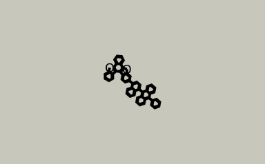 c1ccc(-c2c3ccccc3c(-c3ccc(-c4ccc5c(c4)oc4c6ccccc6c6oc7ccccc7c6c54)c4ccccc34)c3ccccc23)cc1